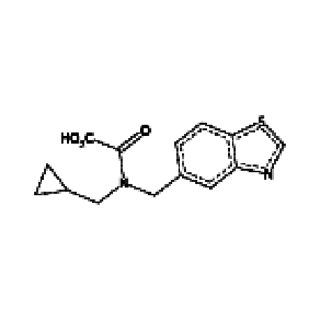 O=C(O)C(=O)N(Cc1ccc2scnc2c1)CC1CC1